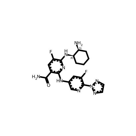 NC(=O)c1cc(F)c(N[C@@H]2CCCC[C@@H]2N)nc1Nc1cnc(-n2nccn2)c(F)c1